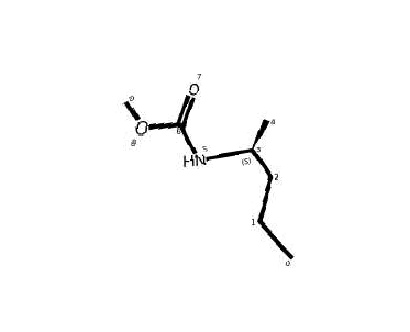 CCC[C@H](C)NC(=O)OC